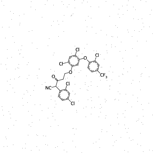 N#CC(C(=O)CCOc1cc(Oc2ccc(C(F)(F)F)cc2Cl)c(Cl)cc1Cl)c1ccc(Cl)cc1Cl